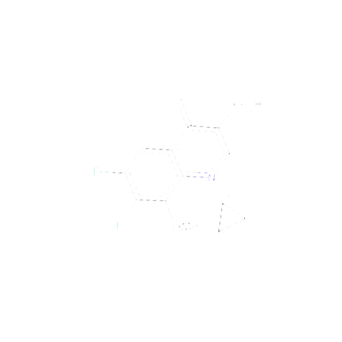 COc1c(F)c(F)cc2c(=O)c(C(=O)O)cn([C@@H]3C[C@@H]3F)c12